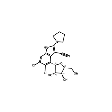 N#Cc1c(N2CCCC2)[nH]c2cc(Cl)c(Cl)c([C@@H]3O[C@H](CO)[C@@H](O)[C@H]3O)c12